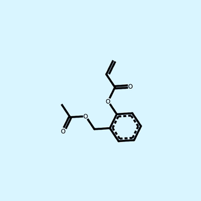 C=CC(=O)Oc1ccccc1COC(C)=O